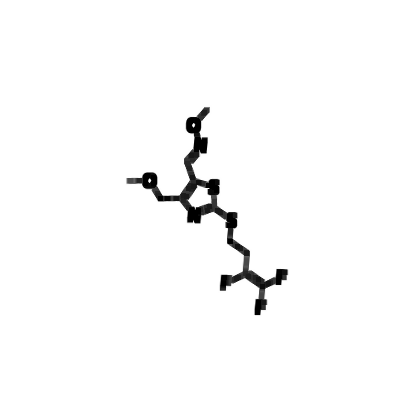 COCc1nc(SCCC(F)=C(F)F)sc1C=NOC